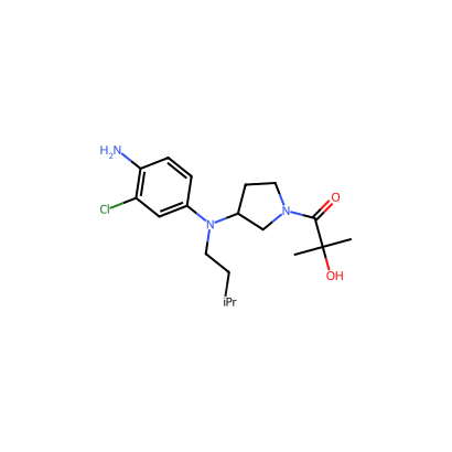 CC(C)CCN(c1ccc(N)c(Cl)c1)C1CCN(C(=O)C(C)(C)O)C1